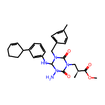 COC(=O)[C@@H](C)CN1C(=O)N(N)C(Nc2cccc(C3C=CCCC3)c2)N(Cc2ccc(C)cc2)C1=O